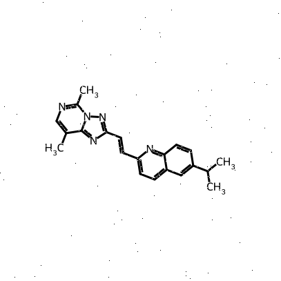 Cc1cnc(C)n2nc(C=Cc3ccc4cc(C(C)C)ccc4n3)nc12